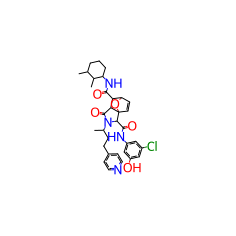 CC1CCCC(NC(=O)C2C3C=CC4(O3)C2C(=O)N(C(C)CCc2ccncc2)C4C(=O)Nc2cc(O)cc(Cl)c2)C1C